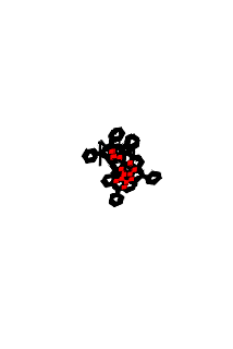 c1ccc(-c2ccc3c(c2)c2cc(-c4ccccc4)ccc2n3-c2c(-c3ccccc3-n3c4ccccc4c4ccccc43)cc(-c3nc(-c4ccccc4)nc(-c4ccccc4)n3)cc2-c2ccccc2-n2c3ccccc3c3ccccc32)cc1